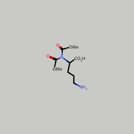 COC(=O)N(C(=O)OC)C(CCCN)C(=O)O